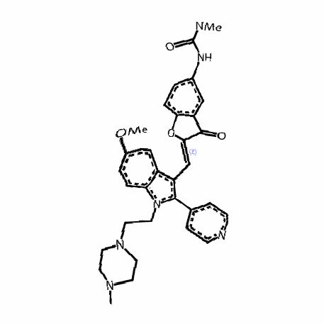 CNC(=O)Nc1ccc2c(c1)C(=O)/C(=C/c1c(-c3ccncc3)n(CCN3CCN(C)CC3)c3ccc(OC)cc13)O2